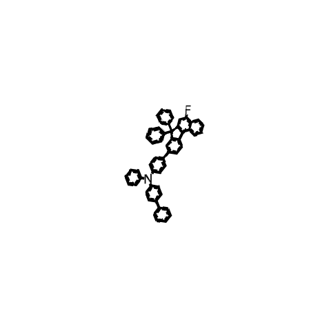 Fc1cc2c(c3ccccc13)-c1ccc(-c3ccc(N(c4ccccc4)c4ccc(-c5ccccc5)cc4)cc3)cc1C2(c1ccccc1)c1ccccc1